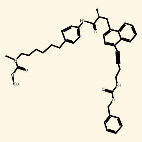 C[C@@H](Cc1ccc(C#CCCNC(=O)OCc2ccccc2)c2ccccc12)C(=O)Nc1ccc(CCCCCCN(C)C(=O)OC(C)(C)C)cc1